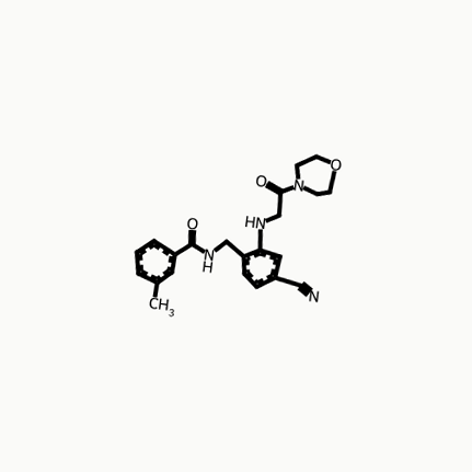 Cc1cccc(C(=O)NCc2ccc(C#N)cc2NCC(=O)N2CCOCC2)c1